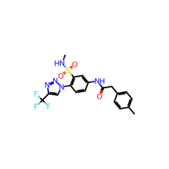 CNS(=O)(=O)c1cc(NC(=O)Cc2ccc(C)cc2)ccc1-n1cc(C(F)(F)F)nn1